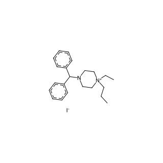 CCC[N+]1(CC)CCN(C(c2ccccc2)c2ccccc2)CC1.[I-]